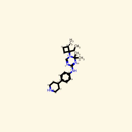 CCC1(N2C=NC(Nc3ccc(C4CCNCC4)cc3)=NC2(C)C)CC[C@H]1C